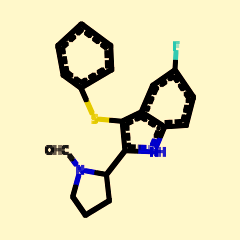 O=CN1CCCC1c1[nH]c2ccc(F)cc2c1Sc1ccccc1